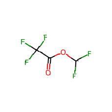 O=C(O[C](F)F)C(F)(F)F